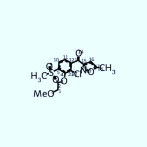 COCCOc1c(S(C)(=O)=O)ccc(C(=O)c2cc(C)on2)c1Cl